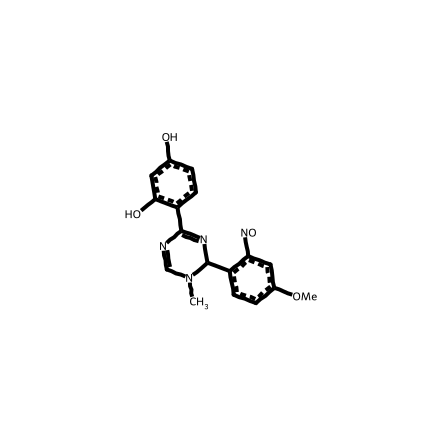 COc1ccc(C2N=C(c3ccc(O)cc3O)N=CN2C)c(N=O)c1